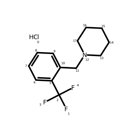 Cl.FC(F)(F)c1ccccc1CN1CCCCC1